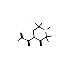 C=C(C)C(=O)C1CC(C)(C)N(C)C(C)(C)C1=O